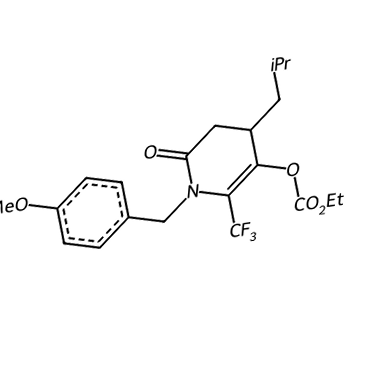 CCOC(=O)OC1=C(C(F)(F)F)N(Cc2ccc(OC)cc2)C(=O)CC1CC(C)C